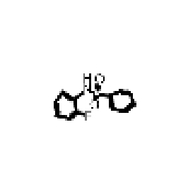 O=S(=O)(Nc1cc[c]cc1F)c1ccccc1